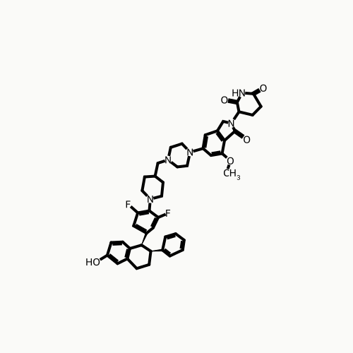 COc1cc(N2CCN(CC3CCN(c4c(F)cc([C@@H]5c6ccc(O)cc6CC[C@@H]5c5ccccc5)cc4F)CC3)CC2)cc2c1C(=O)N(C1CCC(=O)NC1=O)C2